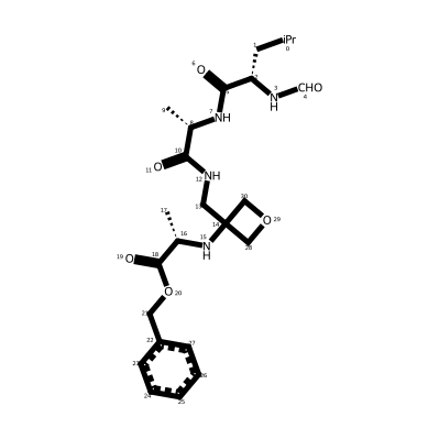 CC(C)C[C@H](NC=O)C(=O)N[C@@H](C)C(=O)NCC1(N[C@@H](C)C(=O)OCc2ccccc2)COC1